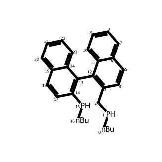 CCCCPCc1ccc2ccccc2c1-c1c(PCCCC)ccc2ccccc12